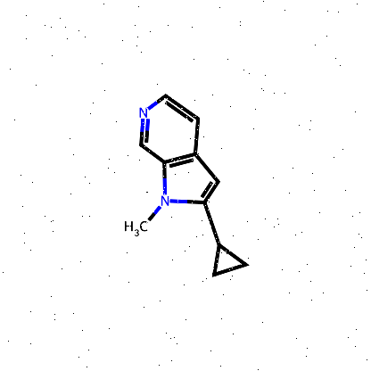 Cn1c(C2CC2)cc2ccncc21